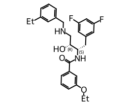 CCOc1cccc(C(=O)N[C@@H](Cc2cc(F)cc(F)c2)[C@H](O)CNCc2cccc(CC)c2)c1